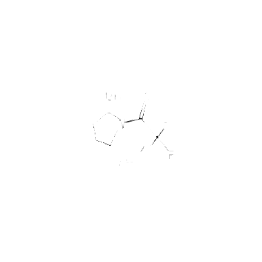 B[C@H]1CC[C@@H](C)N1C(=O)C(F)(F)F